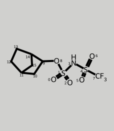 O=S(=O)(NS(=O)(=O)C(F)(F)F)OC1CC2CCC1C2